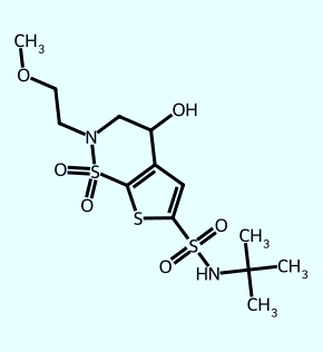 COCCN1CC(O)c2cc(S(=O)(=O)NC(C)(C)C)sc2S1(=O)=O